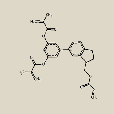 C=CC(=O)OCC1CCc2ccc(-c3cc(OC(=O)C(=C)C)cc(OC(=O)C(=C)C)c3)cc21